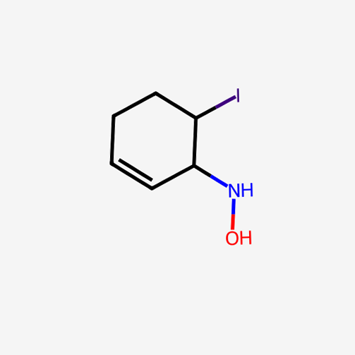 ONC1C=CCCC1I